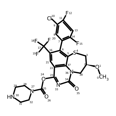 CO[C@@H]1CSc2c(-c3cc(Cl)c(F)cc3F)c(C(F)(F)F)cc3c(OC(=O)N4CCNCC4)nc(=O)n(c23)C1